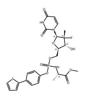 COC(=O)[C@H](C)NP(=O)(OC[C@H]1O[C@@H](n2ccc(=O)[nH]c2=O)[C@](C)(F)[C@@H]1O)Oc1ccc(-c2cccs2)cc1